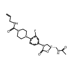 C=CCNC(=O)N1CCN(c2ccc(N3C[C@H](CNC(C)=O)OC3=O)cc2F)CC1